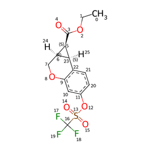 CCOC(=O)[C@@H]1[C@@H]2COc3cc(OS(=O)(=O)C(F)(F)F)ccc3[C@@H]21